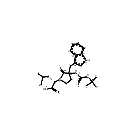 CC(C)C[C@@H](C(=O)O)N1CCC(Cc2c[nH]c3ccccc23)(NC(=O)OC(C)(C)C)C1=O